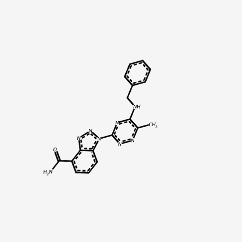 Cc1nnc(-n2nnc3c(C(N)=O)cccc32)nc1NCc1ccccc1